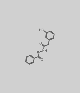 O=C(Cc1cccc(O)c1)NNC(=O)c1ccccc1